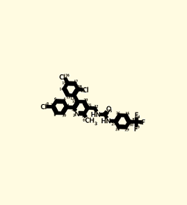 Cc1nc(-c2ccc(Cl)cc2)c(-c2ccc(Cl)cc2Cl)cc1CNC(=O)Nc1ccc(C(F)(F)F)cc1